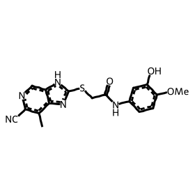 COc1ccc(NC(=O)CSc2nc3c(C)c(C#N)ncc3[nH]2)cc1O